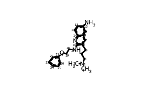 CN(C)CCCc1cc2cc(N)ccc2nc1NCCOc1ccccc1